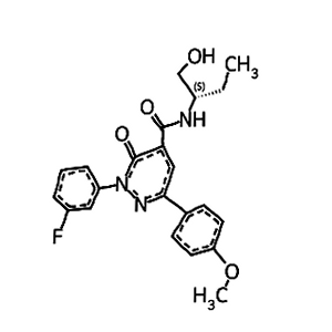 CC[C@@H](CO)NC(=O)c1cc(-c2ccc(OC)cc2)nn(-c2cccc(F)c2)c1=O